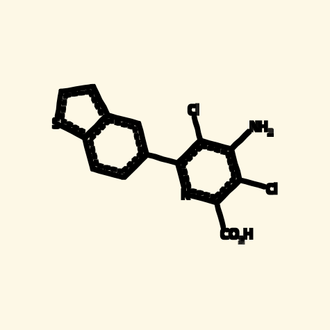 Nc1c(Cl)c(C(=O)O)nc(-c2ccc3sccc3c2)c1Cl